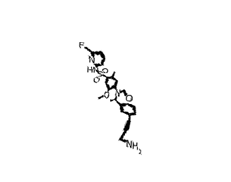 COc1cc(S(=O)(=O)Nc2cccc(F)n2)c(C)cc1N(C=O)[C@H](C)c1cccc(C#CCN)c1